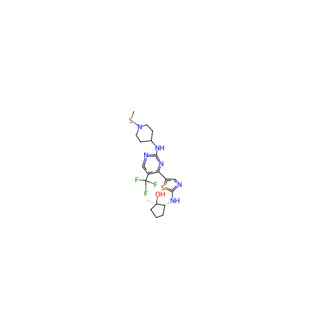 CSN1CCC(Nc2ncc(C(F)(F)F)c(-c3cnc(N[C@@H]4CCC[C@@]4(C)O)s3)n2)CC1